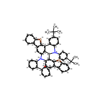 CC(C)(C)c1ccc(N2B3c4c(cc5c(sc6ccccc65)c4-c4cc(C(C)(C)C)ccc42)N(c2ccccc2-c2ccccc2)c2ccc4c(sc5ccccc54)c23)cc1